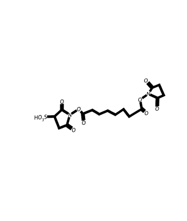 O=C(CCCCCCC(=O)ON1C(=O)CC(S(=O)(=O)O)C1=O)ON1C(=O)CCC1=O